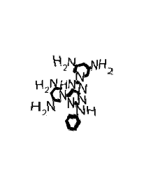 NC1CC(N)CN(c2nc3nc(Nc4ccccc4)nc(N4CC(N)CC(N)C4)c3[nH]2)C1